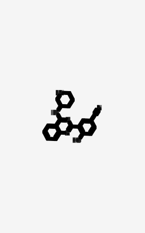 N#Cc1ccc(O)c(-c2nc(NC3CCCNC3)c3ccccc3n2)c1